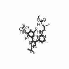 COC(=O)N[C@@H](C)CNc1nccc(-c2cn(C(C)C)nc2-c2cc(C)cc(NS(C)(=O)=O)c2F)n1